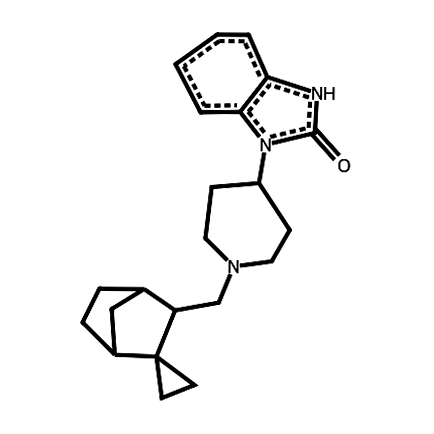 O=c1[nH]c2ccccc2n1C1CCN(CC2C3CCC(C3)C23CC3)CC1